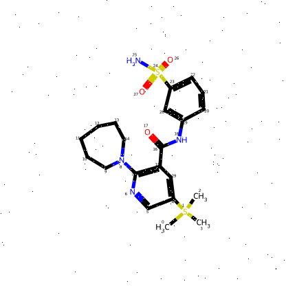 CS(C)(C)c1cnc(N2CCCCCC2)c(C(=O)Nc2cccc(S(N)(=O)=O)c2)c1